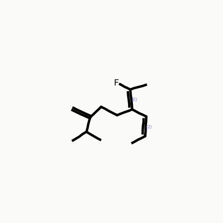 C=C(CCC(/C=C\C)=C(/C)F)C(C)C